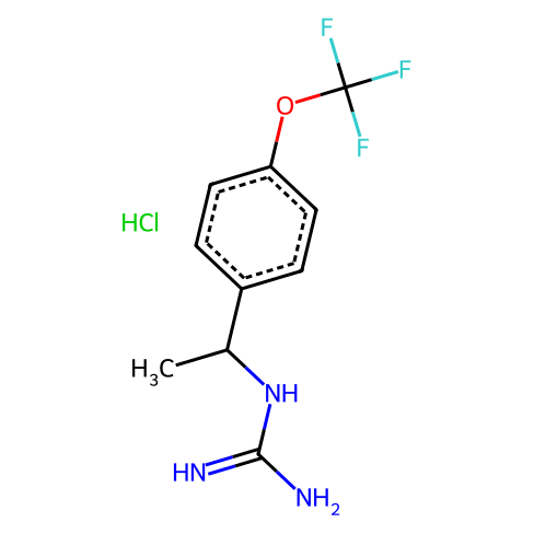 CC(NC(=N)N)c1ccc(OC(F)(F)F)cc1.Cl